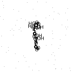 C/C(=C\c1ccc(O[C@H]2C[C@H](O)[C@@H](/C=N/OCc3ccc4c(c3)OCO4)O2)c(O)c1)C(=O)N[C@@H]1C(O)C(O)C2OCO[C@H]2[C@@H]1O